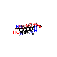 CCOC(=O)NCc1cc(N(C)C)c2c(c1O)C(=O)C1=C(O)[C@@]3(O)C(=O)C(C(N)=O)=C(O)C(N(C)C)[C@H]3C[C@H]1C2